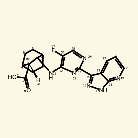 O=C(O)[C@@H]1C2CCC(CC2)C1Nc1nc(-c2n[nH]c3ncccc23)ncc1F